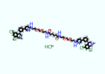 CN1Cc2c(Cl)cc(Cl)cc2[C@H](c2cccc(-c3ccc(NCCOCCOCCNC(=O)CCCCC(=O)NCCOCCOCCNc4ccc(-c5cccc([C@@H]6CN(C)Cc7c(Cl)cc(Cl)cc76)c5)cn4)nc3)c2)C1.Cl